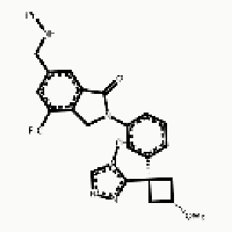 CO[C@H]1C[C@](c2cccc(N3Cc4c(cc(CNC(C)C)cc4C(F)(F)F)C3=O)c2)(c2nncn2C)C1